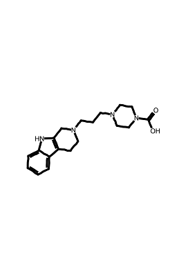 O=C(O)N1CCN(CCCN2CCc3c([nH]c4ccccc34)C2)CC1